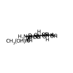 CC(=O)N(O)CCCCCNC(=O)CCC(=O)N(O)CCCCCNC(=O)CCC(=O)N(O)CCCCCNC(=O)C(CCCCN)NC(=O)CCC(=O)N(C)O